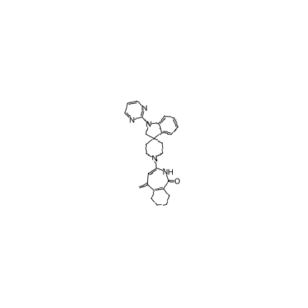 C=C1C=C(N2CCC3(CC2)CN(c2ncccn2)c2ccccc23)NC(=O)C2=C1CCCC2